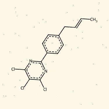 CC=CCc1ccc(-c2nc(Cl)c(Cl)c(Cl)n2)cc1